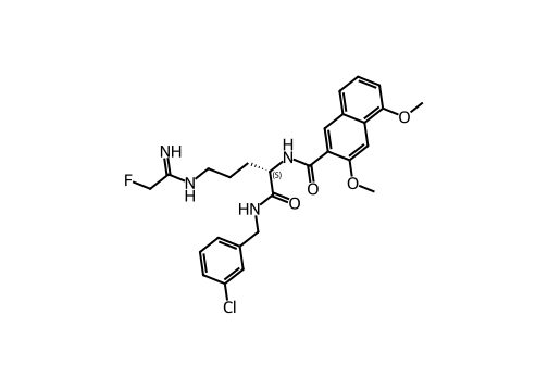 COc1cc2c(OC)cccc2cc1C(=O)N[C@@H](CCCNC(=N)CF)C(=O)NCc1cccc(Cl)c1